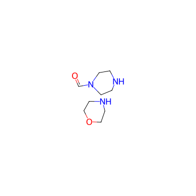 C1COCCN1.O=CN1CCNCC1